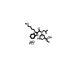 CC[C@H](O)[C@H]1CNC[C@@H](N(CC(C)C)C(=O)c2nc3ccccc3n2CCCCOC)C1.Cl.Cl